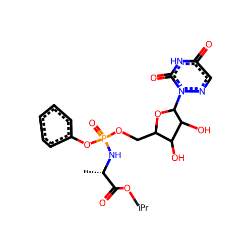 CC(C)OC(=O)[C@H](C)NP(=O)(OCC1OC(n2ncc(=O)[nH]c2=O)C(O)C1O)Oc1ccccc1